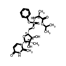 C=C1NC(=O)C=CN1[C@@H]1O[C@H](CO[P@@](=S)(N[C@@H](C)C(=O)OC(C)C)Oc2ccccc2)[C@@H](O)[C@@]1(C)O